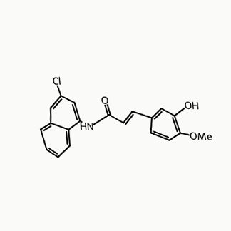 COc1ccc(/C=C/C(=O)Nc2cc(Cl)cc3ccccc23)cc1O